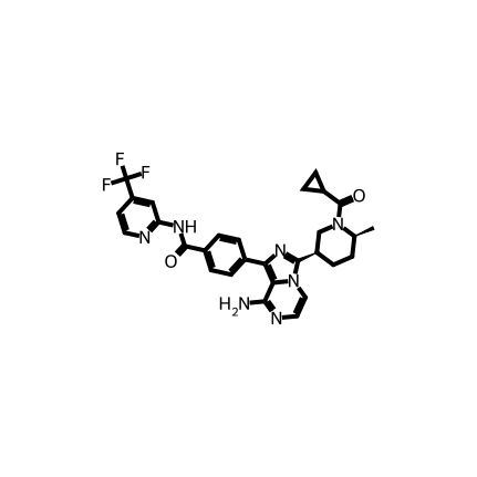 C[C@H]1CC[C@@H](c2nc(-c3ccc(C(=O)Nc4cc(C(F)(F)F)ccn4)cc3)c3c(N)nccn23)CN1C(=O)C1CC1